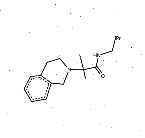 CC(C)CNC(=O)C(C)(C)N1CCc2ccccc2C1